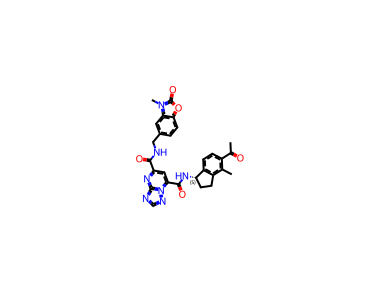 CC(=O)c1ccc2c(c1C)CC[C@@H]2NC(=O)c1cc(C(=O)NCc2ccc3oc(=O)n(C)c3c2)nc2ncnn12